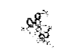 Cc1ccc(C(c2cccc(C)n2)N2C[C@H](C)N(c3cc(=O)n(C)c4ccc(C#N)nc34)CC2C)cc1